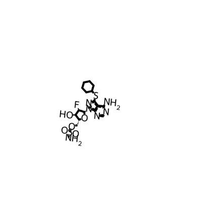 Nc1ncnc2c1c(SC1CCCCC1)nn2[C@@H]1O[C@H](COS(N)(=O)=O)[C@@H](O)[C@@H]1F